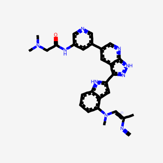 C=N/C(C)=C\N(C)c1cccc2[nH]c(-c3n[nH]c4ncc(-c5cncc(NC(=O)CN(C)C)c5)cc34)cc12